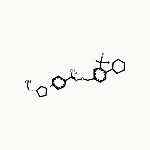 C/C(=N\OCc1ccc(C2CCCCC2)c(C(F)(F)F)c1)c1ccc([C@@H]2CC[C@H](CO)C2)cc1